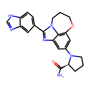 NC(=O)[C@@H]1CCCN1c1cc2c3c(c1)nc(-c1ccc4[nH]cnc4c1)n3CCCO2